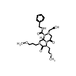 C#CCN1CC(=O)N2[C@@H](CCSC)C(=O)N(CCCOC)C[C@@H]2N1C(=O)NCc1ccccc1